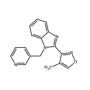 Cc1conc1-c1nc2ccccc2n1Cc1cccnc1